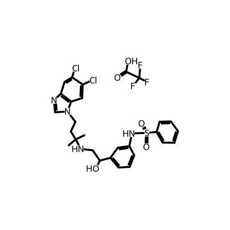 CC(C)(CCn1cnc2cc(Cl)c(Cl)cc21)NCC(O)c1cccc(NS(=O)(=O)c2ccccc2)c1.O=C(O)C(F)(F)F